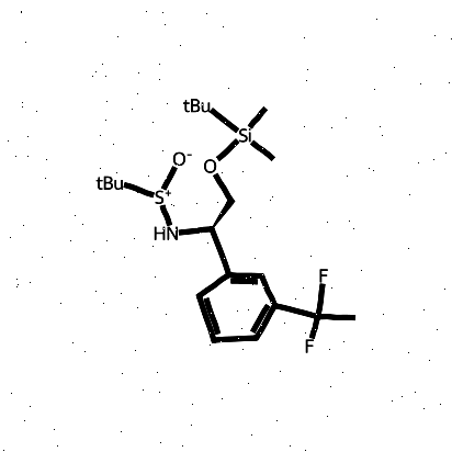 CC(F)(F)c1cccc([C@H](CO[Si](C)(C)C(C)(C)C)N[S+]([O-])C(C)(C)C)c1